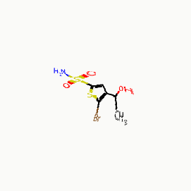 CC(O)c1cc(S(N)(=O)=O)sc1Br